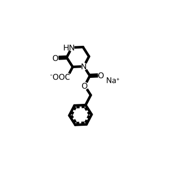 O=C([O-])C1C(=O)NCCN1C(=O)OCc1ccccc1.[Na+]